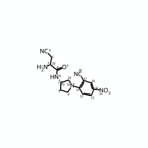 N#CC[C@H](N)C(=O)N[C@H]1CCN(c2ccc([N+](=O)[O-])cc2C#N)C1